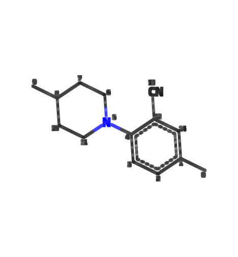 Cc1ccc(N2CCC(C)CC2)c(C#N)c1